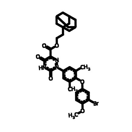 COc1ccc(Oc2c(C)cc(-n3nc(C(=O)OCCC45CC6CC(CC(C6)C4)C5)c(=O)[nH]c3=O)cc2C)cc1Br